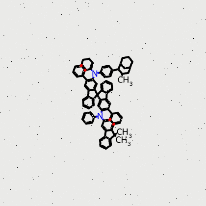 CC1CC2CCCC(C2)C1c1ccc(N(C2=CCCC=C2)c2cc3c(cc2-c2ccccc2)-c2ccccc2C32c3ccccc3-c3cc(-c4ccccc4)c(N(c4ccccc4)c4ccc5c(c4)-c4ccccc4C5(C)C)cc32)cc1